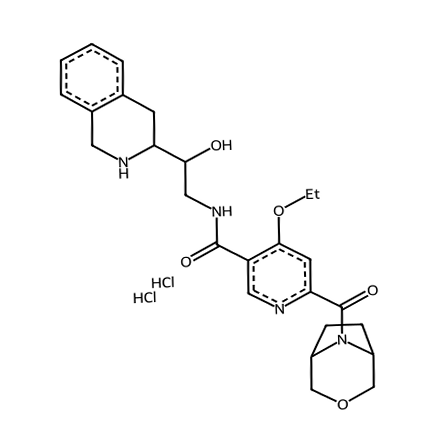 CCOc1cc(C(=O)N2C3CCC2COC3)ncc1C(=O)NCC(O)C1Cc2ccccc2CN1.Cl.Cl